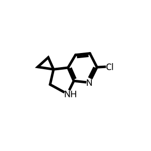 Clc1ccc2c(n1)NCC21CC1